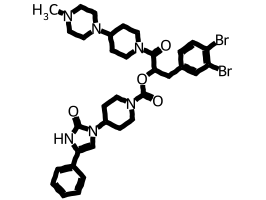 CN1CCN(C2CCN(C(=O)C(Cc3ccc(Br)c(Br)c3)OC(=O)N3CCC(n4cc(-c5ccccc5)[nH]c4=O)CC3)CC2)CC1